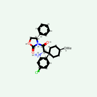 CO[C@H]1CC[C@](c2ccc(Cl)cc2)([C@H](N)C(=O)N2C(=O)OC[C@@H]2c2ccccc2)CC1